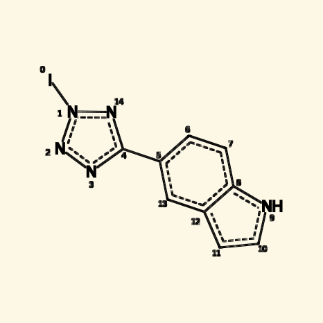 In1nnc(-c2ccc3[nH]ccc3c2)n1